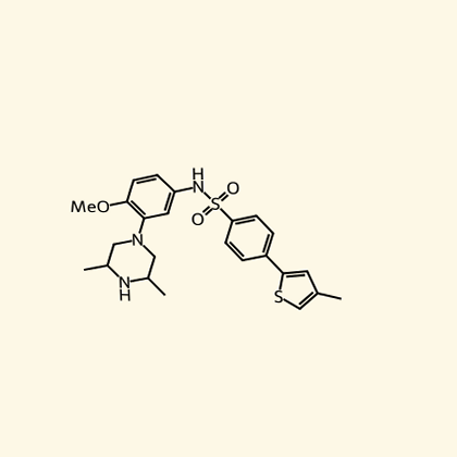 COc1ccc(NS(=O)(=O)c2ccc(-c3cc(C)cs3)cc2)cc1N1CC(C)NC(C)C1